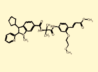 COCCOc1cc(NC(=O)C(C)(C)NC(=O)c2ccc3c(c2)N(C)C(c2ccccn2)C3C2CCCC2)ccc1/C=C/C(=O)OC